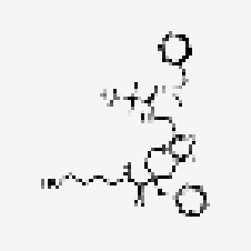 CC(C)(N)C(=O)N[C@H](COCc1ccccc1)c1nnc2n1CCC(Cc1ccccc1)(C(=O)NCCCCO)C2